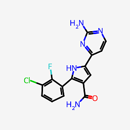 NC(=O)c1cc(-c2ccnc(N)n2)[nH]c1-c1cccc(Cl)c1F